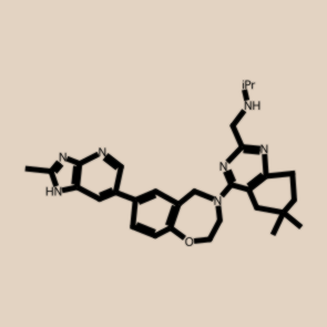 Cc1nc2ncc(-c3ccc4c(c3)CN(c3nc(CNC(C)C)nc5c3CC(C)(C)CC5)CCO4)cc2[nH]1